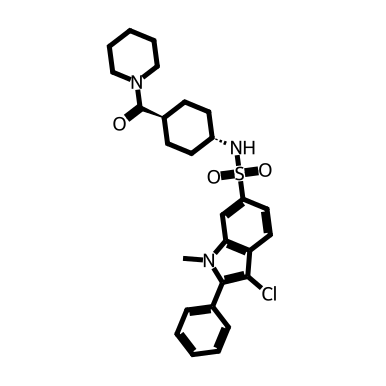 Cn1c(-c2ccccc2)c(Cl)c2ccc(S(=O)(=O)N[C@H]3CC[C@H](C(=O)N4CCCCC4)CC3)cc21